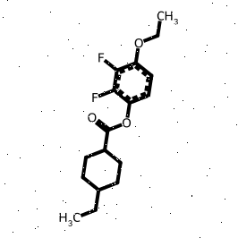 CCOc1ccc(OC(=O)C2CCC(CC)CC2)c(F)c1F